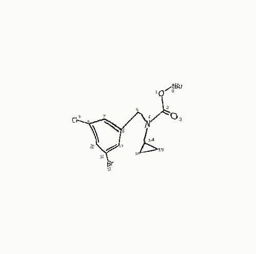 CC(C)(C)OC(=O)N(Cc1cc(Cl)cc(Br)c1)C1CC1